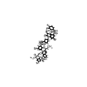 CCC1Oc2c(cc(Br)cc2S(=O)(=O)Nc2ccc(Cl)c(CN3C(=O)C(CC)Oc4c3cc(Br)cc4S(=O)(=O)Nc3cccc(N4C(=O)C(CC)Oc5c4cc(Br)cc5S(=O)(=O)Nc4ccc(F)c(F)c4)c3)c2)N(C)C1=O